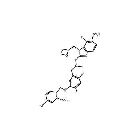 COc1cc(Cl)ccc1COc1nc2c(cc1C)CCN(Cc1nc3ccc(C(=O)O)c(F)c3n1C[C@@H]1CCO1)C2